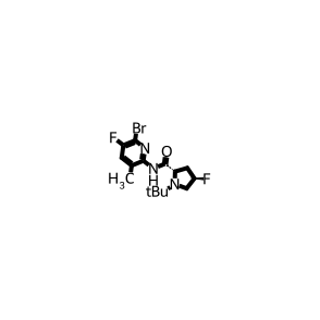 Cc1cc(F)c(Br)nc1NC(=O)[C@@H]1C[C@@H](F)CN1C(C)(C)C